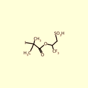 CC(C)(I)C(=O)OC(CS(=O)(=O)O)C(F)(F)F